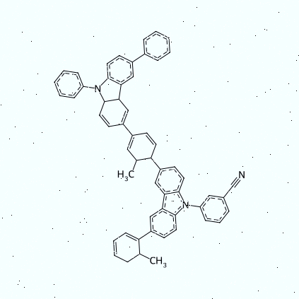 CC1CC=CC=C1c1ccc2c(c1)c1cc(C3C=CC(C4=CC5c6cc(-c7ccccc7)ccc6N(c6ccccc6)C5C=C4)=CC3C)ccc1n2-c1cccc(C#N)c1